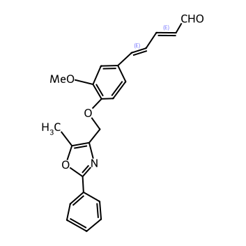 COc1cc(/C=C/C=C/C=O)ccc1OCc1nc(-c2ccccc2)oc1C